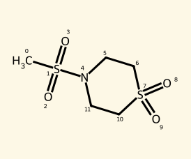 CS(=O)(=O)N1CCS(=O)(=O)CC1